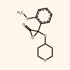 COc1ccccc1C1(OC2CCOCC2)OC1=O